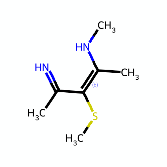 CN/C(C)=C(/SC)C(C)=N